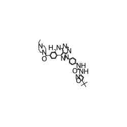 CCN1CCN(C(=O)c2ccc(-c3nn(-c4ccc(NC(=O)Nc5cc(C(C)(C)C)on5)cc4)c4ncnc(N)c34)cc2)CC1